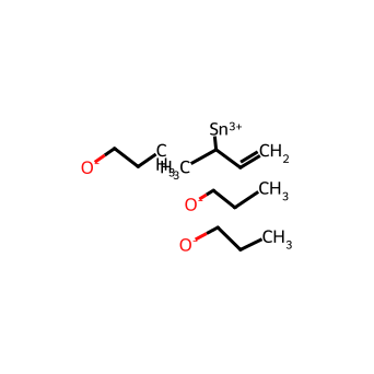 C=C[CH](C)[Sn+3].CCC[O-].CCC[O-].CCC[O-]